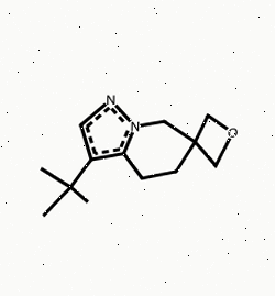 CC(C)(C)c1cnn2c1CCC1(COC1)C2